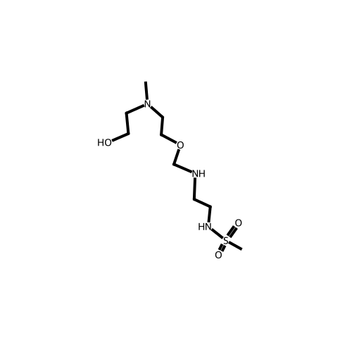 CN(CCO)CCOCNCCNS(C)(=O)=O